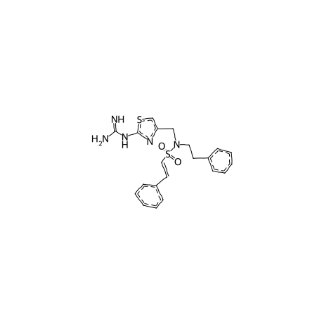 N=C(N)Nc1nc(CN(CCc2ccccc2)S(=O)(=O)/C=C/c2ccccc2)cs1